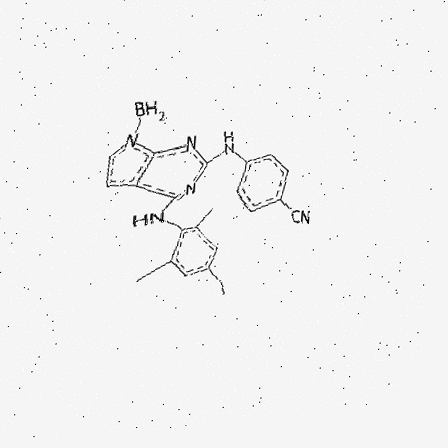 Bn1ccc2c(Nc3c(C)cc(C)cc3C)nc(Nc3ccc(C#N)cc3)nc21